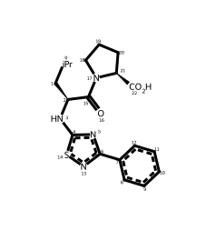 CC(C)C[C@H](Nc1nc(-c2ccccc2)ns1)C(=O)N1CCC[C@H]1C(=O)O